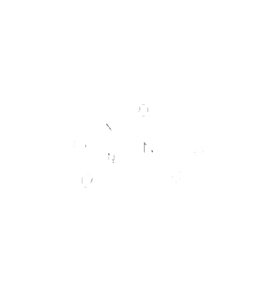 CCOC(=O)CN1C=CN(C(=O)OCc2ccccc2)[C@@H](Cc2ccccc2)C1=O